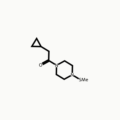 CSN1CCN(C(=O)CC2CC2)CC1